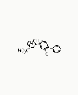 CC(CC(O)C(=O)O)c1ccc(-c2ccccc2)c(Cl)c1